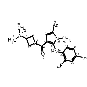 CC(=O)c1cc(C(=O)N2CC(N(C)C)C2)c(Nc2ccc(I)cc2F)n1C